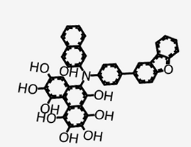 Oc1c(O)c(O)c2c(c1O)c(O)c(N(c1ccc(-c3ccc4oc5ccccc5c4c3)cc1)c1ccc3ccccc3c1)c1c(O)c(O)c(O)c(O)c12